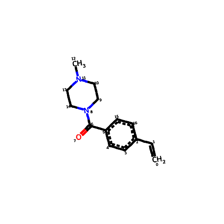 C=Cc1ccc(C(=O)N2CCN(C)CC2)cc1